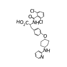 O=C(NC(Cc1ccc(O[C@H]2CC[C@@H](Nc3ccccn3)CC2)cc1)C(=O)O)c1c(Cl)cccc1Cl